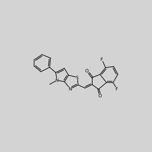 Cn1c(-c2ccccc2)cc2sc(C=C3C(=O)c4c(F)ccc(F)c4C3=O)nc21